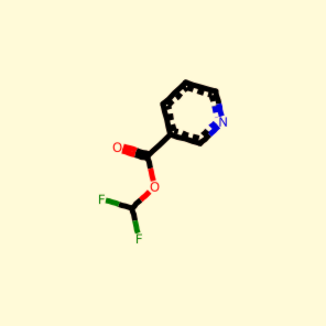 O=C(OC(F)F)c1cccnc1